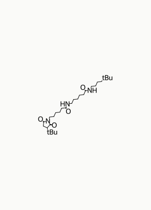 CC(C)(C)CCCCNC(=O)CCCCCNC(=O)CCCCCN1C(=O)CC(C(C)(C)C)C1=O